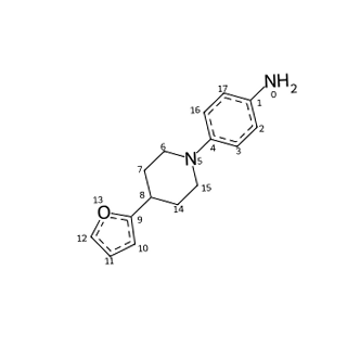 Nc1ccc(N2CCC(c3ccco3)CC2)cc1